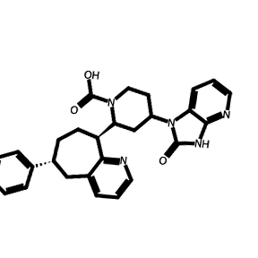 O=C(O)N1CCC(n2c(=O)[nH]c3ncccc32)CC1[C@@H]1CC[C@@H](c2ccccc2)Cc2cccnc21